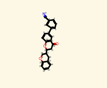 N#Cc1cccc(-c2ccc3c(c2)C(=O)CC(C2COc4ccccc4C2)O3)c1